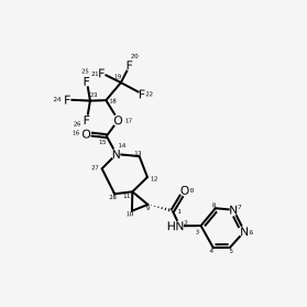 O=C(Nc1ccnnc1)[C@@H]1CC12CCN(C(=O)OC(C(F)(F)F)C(F)(F)F)CC2